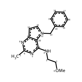 COCCNc1nc(C)nc2ccn(Cc3ccccc3)c12